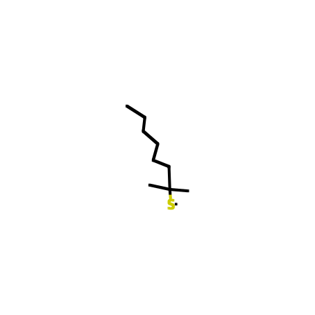 CCCCCCC(C)(C)[S]